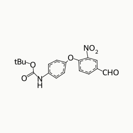 CC(C)(C)OC(=O)Nc1ccc(Oc2ccc(C=O)cc2[N+](=O)[O-])cc1